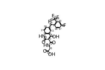 O=C(O)CNC(=O)c1c(O)c2cc(C(F)c3ccc(F)cc3C(F)(F)F)ccc2[nH]c1=O